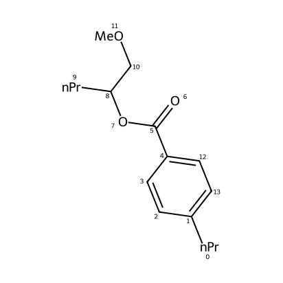 CCCc1ccc(C(=O)OC(CCC)COC)cc1